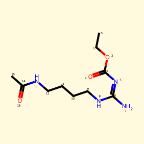 CCOC(=O)/N=C(/N)NCCCCNC(C)=O